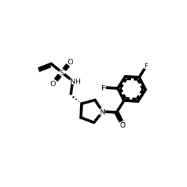 C=CS(=O)(=O)NC[C@H]1CCN(C(=O)c2ccc(F)cc2F)C1